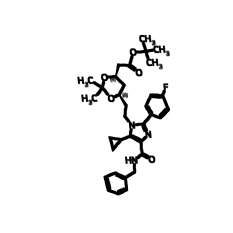 CC(C)(C)OC(=O)C[C@H]1C[C@@H](CCn2c(-c3ccc(F)cc3)nc(C(=O)NCc3ccccc3)c2C2CC2)OC(C)(C)O1